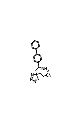 N#CCCC1(CC(N)c2ccc(-c3ccccc3)cc2)N=NN=N1